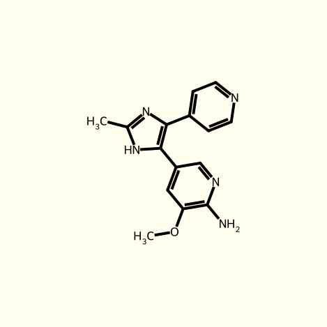 COc1cc(-c2[nH]c(C)nc2-c2ccncc2)cnc1N